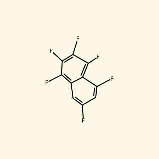 Fc1[c]c2c(F)c(F)c(F)c(F)c2c(F)c1